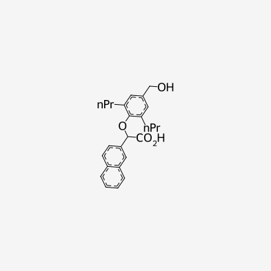 CCCc1cc(CO)cc(CCC)c1OC(C(=O)O)c1ccc2ccccc2c1